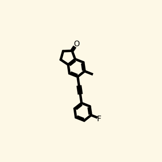 Cc1cc2c(cc1C#Cc1cccc(F)c1)CCC2=O